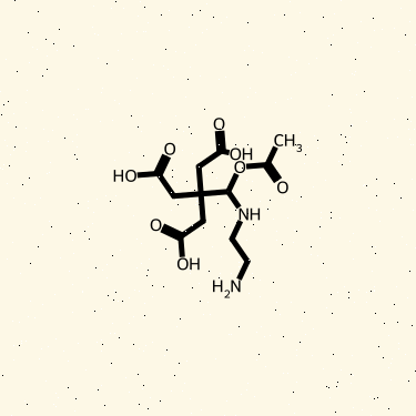 CC(=O)OC(NCCN)C(CC(=O)O)(CC(=O)O)CC(=O)O